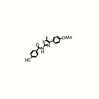 COc1ccc(-c2nc(NC(=O)c3ccc(C#N)cc3)sc2C)cc1